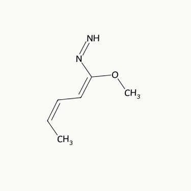 C/C=C\C=C(/N=N)OC